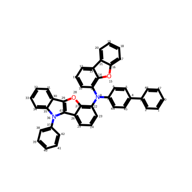 c1ccc(-c2ccc(N(c3cccc4c3oc3ccccc34)c3cccc4c3oc3c5ccccc5n(-c5ccccc5)c43)cc2)cc1